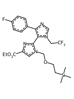 CCOC(=O)c1cn(COCC[Si](C)(C)C)c(-c2c(-c3ccc(F)cc3)ncn2CC(F)(F)F)n1